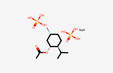 CC(=O)O[C@@H]1C[C@H](C)CC[C@H]1C(C)C.O=P(O)(O)O.O=P(O)(O)O.[NaH]